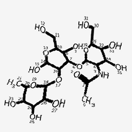 CC(=O)NC1C(OC2C(O)C(CO)OC(O)C2OC2OC(C)C(O)C(O)C2O)OC(CO)C(O)C1O